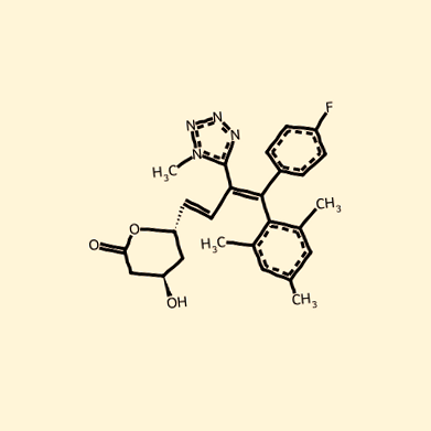 Cc1cc(C)c(C(=C(/C=C/[C@@H]2C[C@@H](O)CC(=O)O2)c2nnnn2C)c2ccc(F)cc2)c(C)c1